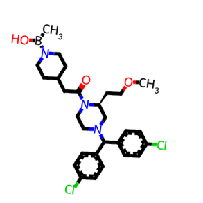 COCC[C@H]1CN(C(c2ccc(Cl)cc2)c2ccc(Cl)cc2)CCN1C(=O)CC1CCN(B(C)O)CC1